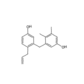 C=CCc1ccc(O)cc1Cc1cc(O)cc(C)c1C